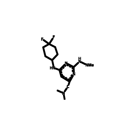 CNNc1nc(CN(C)C)cc(NC2CCC(F)(F)CC2)n1